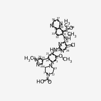 COc1cc(N2CCN(C(=O)O)CC2)c(-c2cnn(C)c2)cc1Nc1ncc(Cl)c(Nc2ccc3nccnc3c2P(C)(C)=O)n1